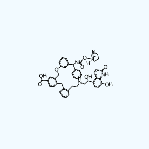 O=C(N[C@@H](c1ccccc1)c1cccc(OCc2cc(C(=O)O)ccc2Cc2ccccc2CCNC[C@H](O)c2ccc(O)c3[nH]c(=O)ccc23)c1)O[C@H]1CN2CCC1CC2